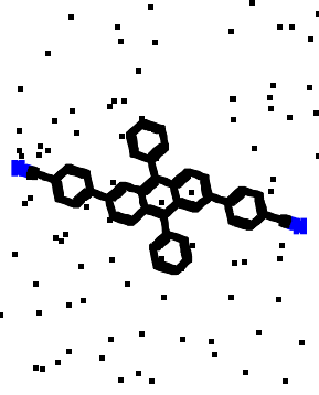 N#Cc1ccc(-c2ccc3c(-c4ccccc4)c4cc(-c5ccc(C#N)cc5)ccc4c(-c4ccccc4)c3c2)cc1